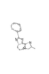 CC1=Nc2c3cc(-c4ccccc4)nc-3ccn2C1